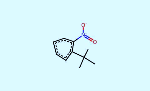 CC(C)(C)c1[c]cccc1[N+](=O)[O-]